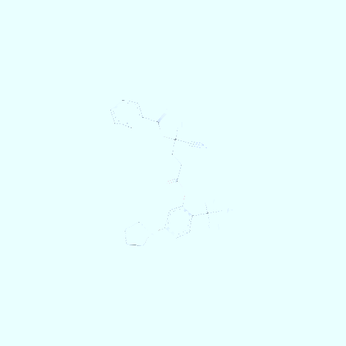 CC(C#N)(CCC(=O)Oc1cc([SH]2CCCC2)ccc1C(C)(C)C)SC(=S)c1ccccc1